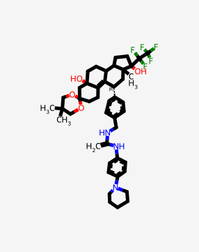 C=C(NCc1ccc([C@H]2CC3(C)C(CCC3(O)C(F)(F)C(F)(F)F)C3CCC4(O)CC5(CCC4=C32)OCC(C)(C)CO5)cc1)Nc1ccc(N2CCCCC2)cc1